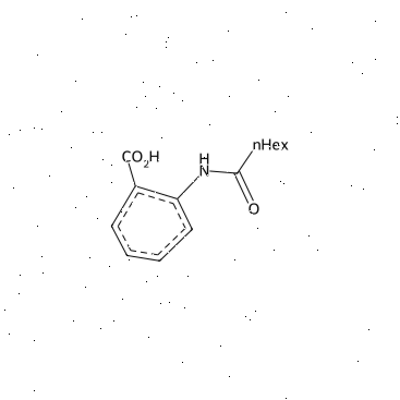 CCCCCCC(=O)Nc1ccccc1C(=O)O